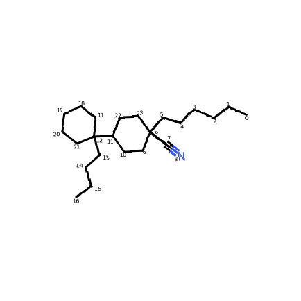 CCCCCCC1(C#N)CCC(C2(CCCC)CCCCC2)CC1